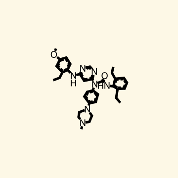 CCc1cc(OC)ccc1Nc1cc(N(C(=O)Nc2c(CC)cccc2CC)c2ccc(N3CCN(C)CC3)cc2)ncn1